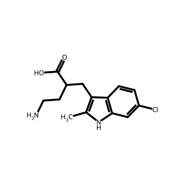 Cc1[nH]c2cc(Cl)ccc2c1CC(CCN)C(=O)O